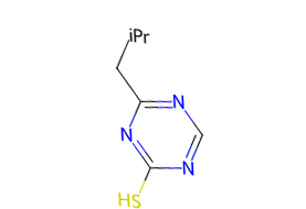 CC(C)Cc1ncnc(S)n1